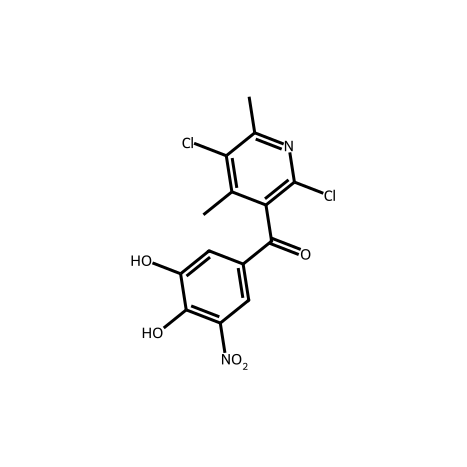 Cc1nc(Cl)c(C(=O)c2cc(O)c(O)c([N+](=O)[O-])c2)c(C)c1Cl